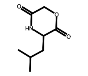 CC(C)CC1NC(=O)COC1=O